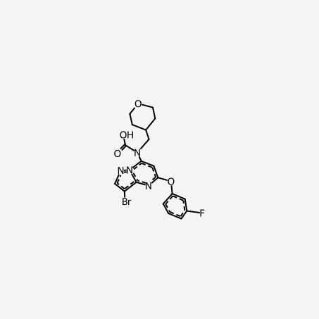 O=C(O)N(CC1CCOCC1)c1cc(Oc2cccc(F)c2)nc2c(Br)cnn12